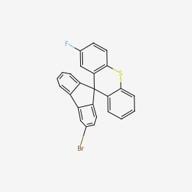 Fc1ccc2c(c1)C1(c3ccccc3S2)c2ccccc2-c2cc(Br)ccc21